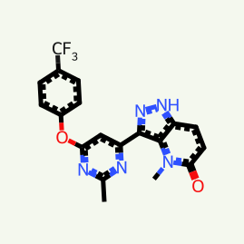 Cc1nc(Oc2ccc(C(F)(F)F)cc2)cc(-c2n[nH]c3ccc(=O)n(C)c23)n1